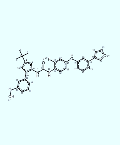 CC(C)(C)c1cc(NC(=O)Nc2ccc(Oc3ccnc(-c4cnoc4)c3)cc2F)n(-c2cccc(CO)c2)n1